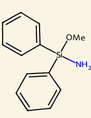 CO[Si](N)(c1ccccc1)c1ccccc1